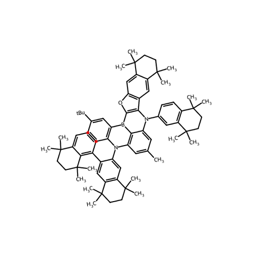 Cc1cc2c3c(c1)N(c1ccc4c(c1)C(C)(C)CCC4(C)C)c1c(oc4cc5c(cc14)C(C)(C)CCC5(C)C)B3c1cc(C(C)(C)C)ccc1N2c1cc2c(cc1-c1cccc3c1C(C)(C)CCC3(C)C)C(C)(C)CCC2(C)C